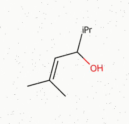 CC(C)=CC(O)C(C)C